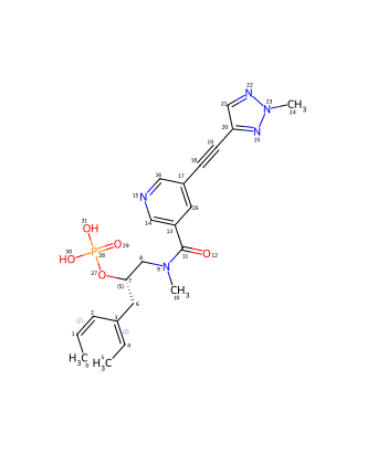 C/C=C\C(=C/C)C[C@@H](CN(C)C(=O)c1cncc(C#Cc2cnn(C)n2)c1)OP(=O)(O)O